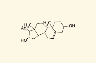 CC(=O)C1[C@H](O)CC2C3CC=C4CC(O)CCC4(C)C3CCC21C